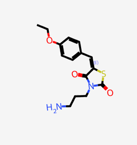 CCOc1ccc(/C=C2/SC(=O)N(CCCN)C2=O)cc1